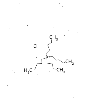 CCCCC[P+](CCCC)(CCCCC)CCCCC.[Cl-]